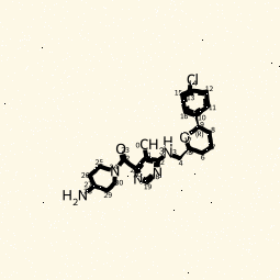 Cc1c(NC[C@@H]2CCC[C@H](c3ccc(Cl)cc3)O2)ncnc1C(=O)N1CCC(N)CC1